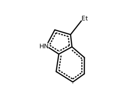 CCc1c[nH]c2c[c]ccc12